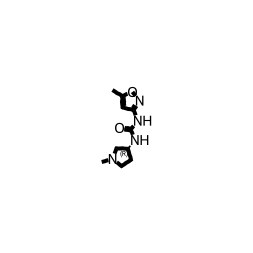 Cc1cc(NC(=O)N[C@@H]2CCN(C)C2)no1